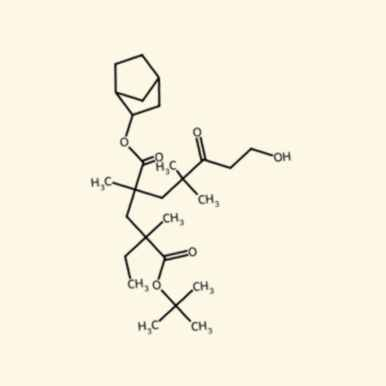 CCC(C)(CC(C)(CC(C)(C)C(=O)CCO)C(=O)OC1CC2CCC1C2)C(=O)OC(C)(C)C